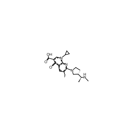 CN[C@@H](C)[C@H]1CCN(c2nc3c(cc2F)c(=O)c(C(=O)O)cn3C2CC2)C1